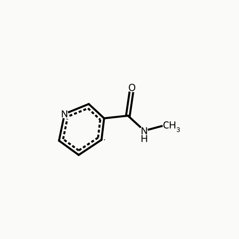 CNC(=O)c1[c]ccnc1